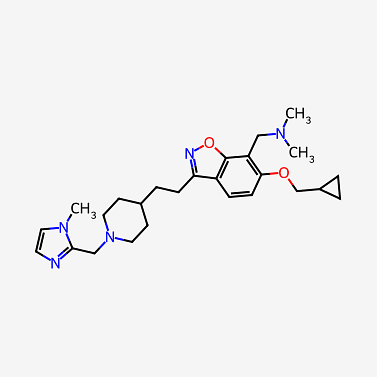 CN(C)Cc1c(OCC2CC2)ccc2c(CCC3CCN(Cc4nccn4C)CC3)noc12